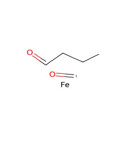 CCCC=O.[C]=O.[Fe]